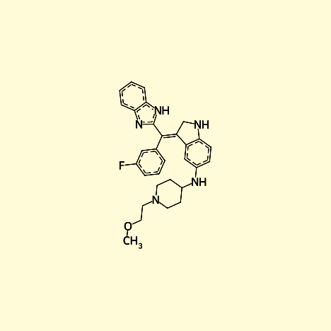 COCCN1CCC(Nc2ccc3c(c2)C(=C(c2cccc(F)c2)c2nc4ccccc4[nH]2)CN3)CC1